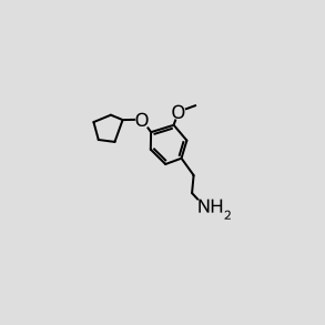 COc1cc(CCN)ccc1OC1CCCC1